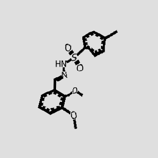 COc1cccc(C=NNS(=O)(=O)c2ccc(C)cc2)c1OC